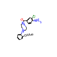 COc1ccccc1N1CCN(C(=O)c2ccc(N)c(Cl)c2)CC1